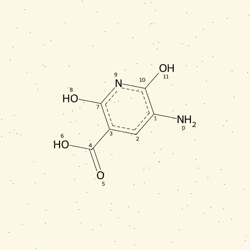 Nc1cc(C(=O)O)c(O)nc1O